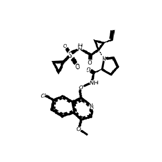 C=C[C@@H]1C[C@@]1(C(=O)NS(=O)(=O)C1CC1)N1CCC[C@H]1C(=O)NOc1ncc(OC)c2ccc(Cl)cc12